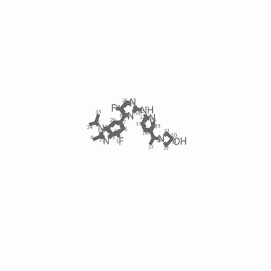 Cc1nc2c(F)cc(-c3nc(Nc4ccc(C(C)N5CC(O)C5)cn4)ncc3F)cc2n1C(C)C